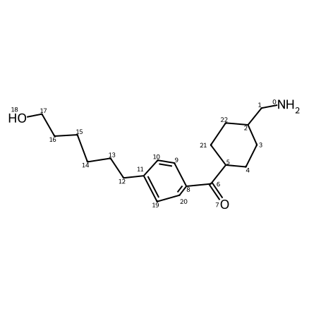 NCC1CCC(C(=O)c2ccc(CCCCCCO)cc2)CC1